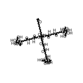 CC(=O)NC1C(OCCCCC(=O)NCCCNC(=O)CCOCC(COCCC(=O)NCCCNC(=O)CCCCOC2OC(CO)C(O)C(O)C2NC(C)=O)(COCCC(=O)NCCCNC(=O)CCCCOC2OC(CO)C(O)C(O)C2NC(C)=O)NC(=O)CCCCCCCCC(=O)CC(C)(C)C)OC(CO)C(O)C1O